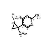 COC1(c2ccc(C(F)(F)F)cc2)CC1C(=O)O